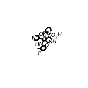 Cc1c(F)cccc1Nc1c(-c2ccncc2OC[C@H]2CCCCN2C(=O)O)[nH]c2c1C(=O)NCC2